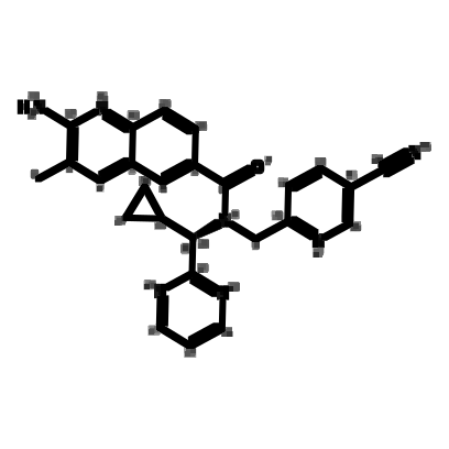 Cc1cc2cc(C(=O)N(Cc3ccc(C#N)cn3)[C@@H](c3ncccn3)C3CC3)ccc2nc1N